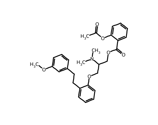 COc1cccc(CCc2ccccc2OCC(COC(=O)c2ccccc2OC(C)=O)N(C)C)c1